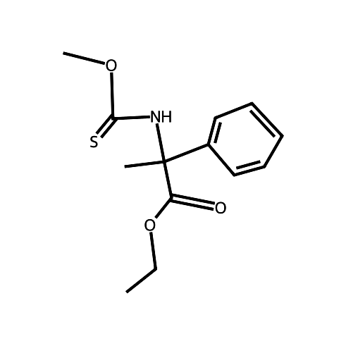 CCOC(=O)C(C)(NC(=S)OC)c1ccccc1